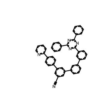 N#Cc1cc(-c2ccc(-c3ccccn3)cc2)cc(-c2cccc(-c3cccc(-c4nc(-c5ccccc5)nc(-c5ccccc5)n4)c3)c2)c1